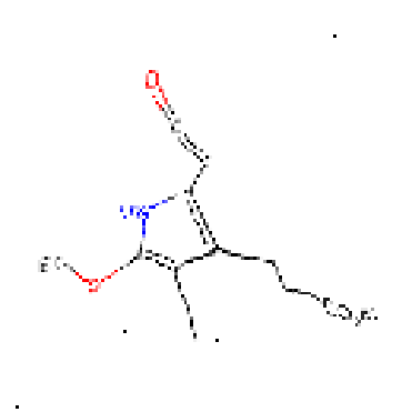 CCOC(=O)CCc1c(C=C=O)[nH]c(OCC)c1C